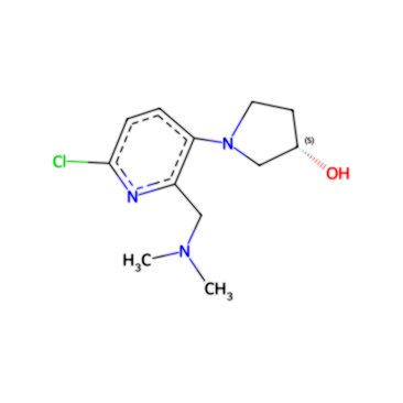 CN(C)Cc1nc(Cl)ccc1N1CC[C@H](O)C1